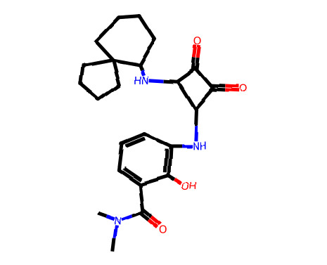 CN(C)C(=O)c1cccc(NC2C(=O)C(=O)C2NC2CCCCC23CCCC3)c1O